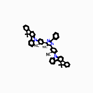 CC1(C)c2ccccc2-c2ccc3c(c21)c1ccccc1n3-c1ccc(-c2nc(-c3ccccc3)nc(-c3ccc(-n4c5ccccc5c5c6c(ccc54)-c4ccccc4C6(C)C)c(C#N)c3)c2C#N)cc1C#N